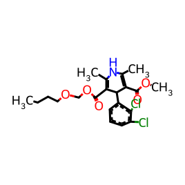 CCCCOCOC(=O)C1=C(C)NC(C)=C(C(=O)OC)C1c1cccc(Cl)c1Cl